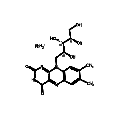 Cc1cc2nc3c(=O)[nH]c(=O)nc-3n(C[C@H](O)[C@H](O)[C@H](O)CO)c2cc1C.[PbH2]